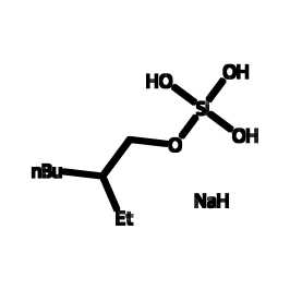 CCCCC(CC)CO[Si](O)(O)O.[NaH]